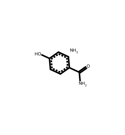 N.NC(=O)c1ccc(O)cc1